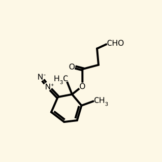 CC1=CC=CC(=[N+]=[N-])C1(C)OC(=O)CCC=O